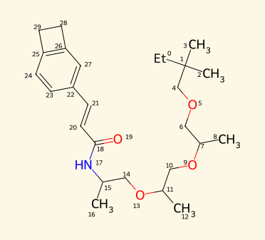 CCC(C)(C)COCC(C)OCC(C)OCC(C)NC(=O)/C=C/c1ccc2c(c1)CC2